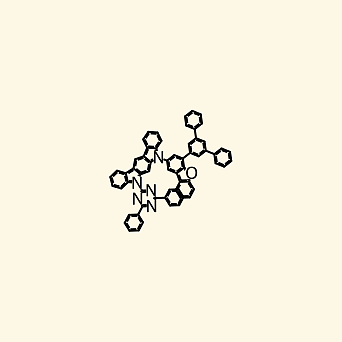 c1ccc(-c2cc(-c3ccccc3)cc(-c3cc(-n4c5ccccc5c5cc6c7ccccc7n(-c7nc(-c8ccccc8)nc(-c8ccccc8)n7)c6cc54)cc4c3oc3ccccc34)c2)cc1